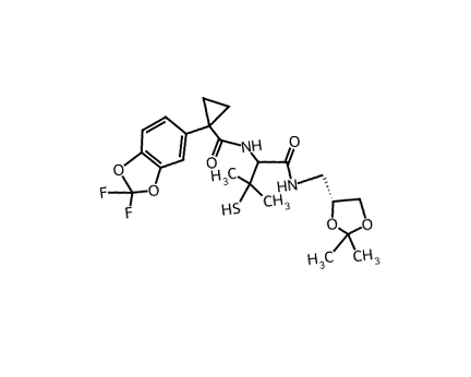 CC1(C)OC[C@@H](CNC(=O)C(NC(=O)C2(c3ccc4c(c3)OC(F)(F)O4)CC2)C(C)(C)S)O1